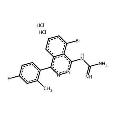 Cc1cc(F)ccc1-c1nnc(NC(=N)N)c2c(Br)cccc12.Cl.Cl